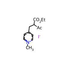 CCOC(=O)C(Cc1cc[n+](C)cc1)C(C)=O.[I-]